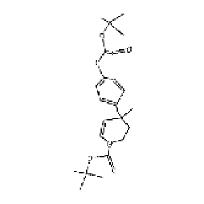 CC(C)(C)OC(=O)Oc1ccc(C2(C)C=CN(C(=O)OC(C)(C)C)CC2)cc1